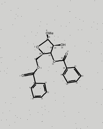 CO[C@@H]1O[C@H](COC(=O)c2ccccc2)C(OC(=O)c2ccccc2)[C@@H]1O